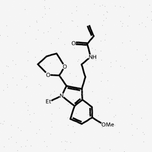 C=CC(=O)NCCc1c(C2OCCCO2)n(CC)c2ccc(OC)cc12